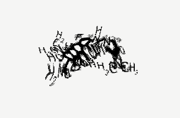 C=CN(C)[C@@H]1C(O)=C(C(N)=O)C(=O)[C@@]2(O)C(O)=C3C(=O)c4c(O)c(NC(=O)CN5CC[C@@H](N(C)C)C5)cc(F)c4C[C@H]3C[C@@H]12